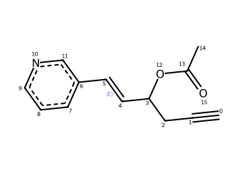 C#CCC(/C=C/c1cccnc1)OC(C)=O